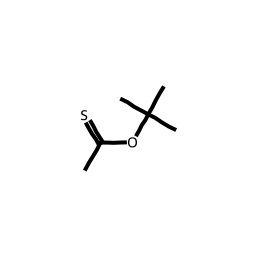 CC(=S)OC(C)(C)C